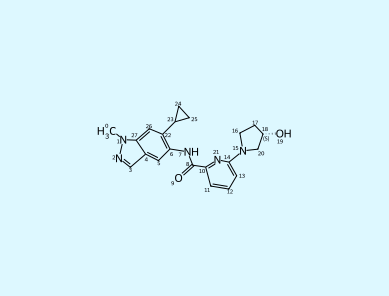 Cn1ncc2cc(NC(=O)c3cccc(N4CC[C@H](O)C4)n3)c(C3CC3)cc21